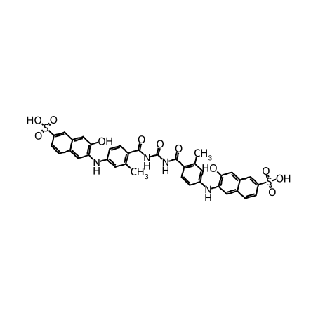 Cc1cc(Nc2cc3ccc(S(=O)(=O)O)cc3cc2O)ccc1C(=O)NC(=O)NC(=O)c1ccc(Nc2cc3ccc(S(=O)(=O)O)cc3cc2O)cc1C